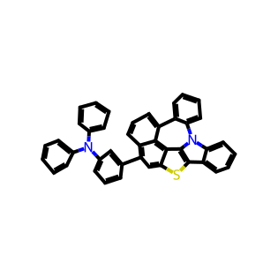 c1ccc(N(c2ccccc2)c2cccc(-c3cc4sc5c6ccccc6n6c7ccccc7c7cccc3c7c4c56)c2)cc1